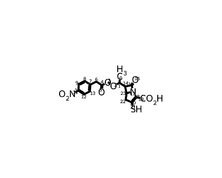 CC(OOC(=O)Cc1ccc([N+](=O)[O-])cc1)C1C(=O)N2C(C(=O)O)=C(S)CC12